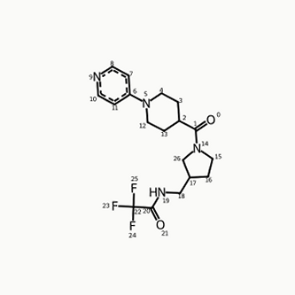 O=C(C1CCN(c2ccncc2)CC1)N1CCC(CNC(=O)C(F)(F)F)C1